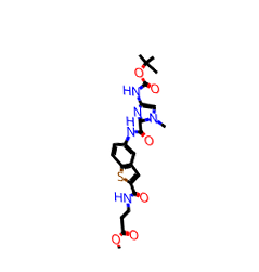 COC(=O)CCNC(=O)c1cc2cc(NC(=O)c3nc(NC(=O)OC(C)(C)C)cn3C)ccc2s1